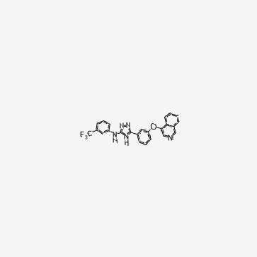 FC(F)(F)c1cccc(Nc2nnc(-c3cccc(Oc4cncc5ccccc45)c3)[nH]2)c1